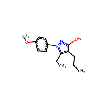 CCCc1c(O)nn(-c2ccc(OC)cc2)c1CC